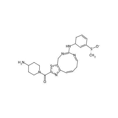 C[S@@+]([O-])C1=CC(NC2=N/Cc3sc(C(=O)N4CCC(N)CC4)nc3/C=C\C/C=N\2)CC=C1